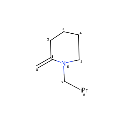 C=C1CCCCN1CC(C)C